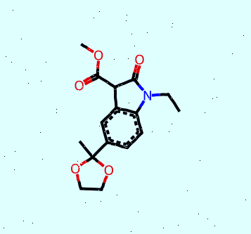 CCN1C(=O)C(C(=O)OC)c2cc(C3(C)OCCO3)ccc21